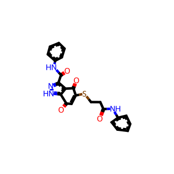 O=C(CCSC1=CC(=O)c2[nH]nc(C(=O)Nc3ccccc3)c2C1=O)Nc1ccccc1